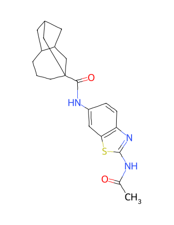 CC(=O)Nc1nc2ccc(NC(=O)C34CCCC5CC(CC5C3)C4)cc2s1